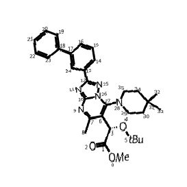 COC(=O)[C@@H](OC(C)(C)C)c1c(C)nc2nc(-c3cccc(-c4ccccc4)c3)nn2c1N1CCC(C)(C)CC1